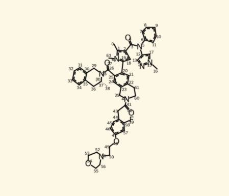 Cc1c(C(=O)N(c2ccccc2)c2cnn(C)c2)cc(-c2cc3c(cc2C(=O)N2Cc4ccccc4C[C@H]2C)CN(C(=O)Cc2ccc(OCCN4CCOCC4)cc2F)CC3)n1C